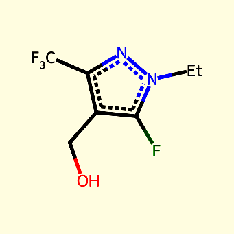 CCn1nc(C(F)(F)F)c(CO)c1F